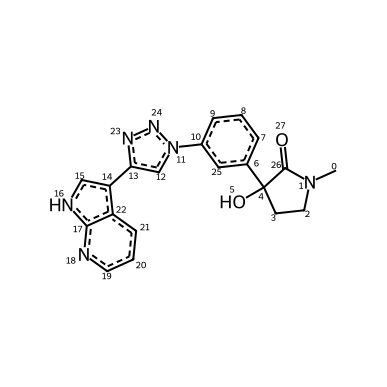 CN1CCC(O)(c2cccc(-n3cc(-c4c[nH]c5ncccc45)nn3)c2)C1=O